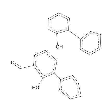 O=Cc1cccc(-c2ccccc2)c1O.Oc1ccccc1-c1ccccc1